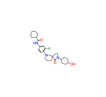 O=C(Nc1ccc(N2CCCC3(CCN(C4CCC(O)CC4)C3=O)C2)c(F)c1)C1CCCCC1